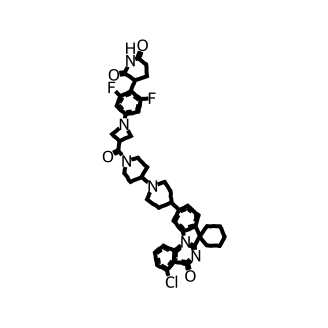 O=C1CCC(c2c(F)cc(N3CC(C(=O)N4CCC(N5CCC(c6ccc7c(c6)-n6c(nc(=O)c8c(Cl)cccc86)C76CCCCC6)CC5)CC4)C3)cc2F)C(=O)N1